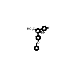 O=C(O)c1cc2c([nH]c3cc(F)ccc32)c(-c2ccc(OCc3ccccc3)cc2)n1